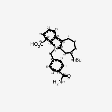 CCCCC1CCCc2c(n(Cc3ccc(C(N)=O)cc3)c3c(C(=O)O)cccc23)C1